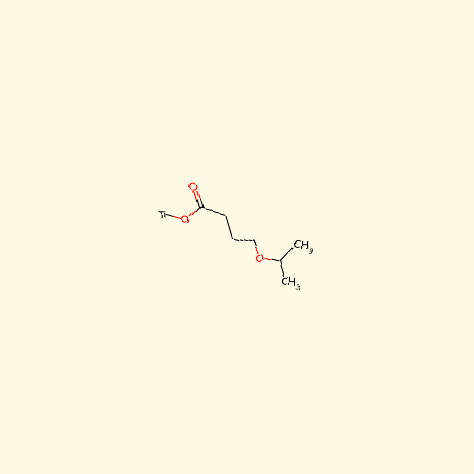 CC(C)OCCCC(=O)[O][Ti]